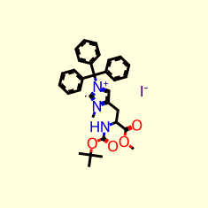 COC(=O)C(Cc1c[n+](C(c2ccccc2)(c2ccccc2)c2ccccc2)[c]n1C)NC(=O)OC(C)(C)C.[I-]